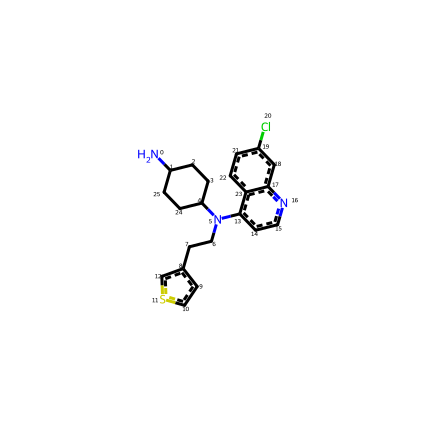 NC1CCC(N(CCc2ccsc2)c2ccnc3cc(Cl)ccc23)CC1